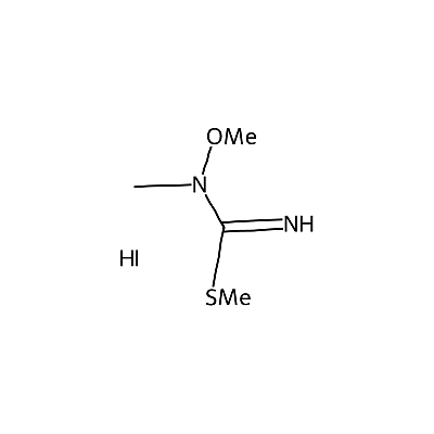 CON(C)C(=N)SC.I